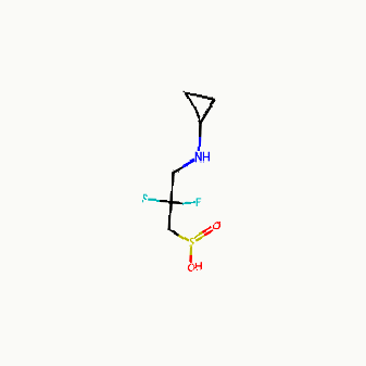 O=S(O)CC(F)(F)CNC1CC1